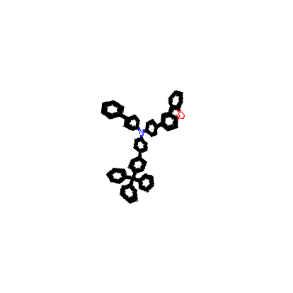 c1ccc(-c2ccc(N(c3ccc(-c4ccc(C(c5ccccc5)(c5ccccc5)c5ccccc5)cc4)cc3)c3ccc(-c4ccc5oc6ccccc6c5c4)cc3)cc2)cc1